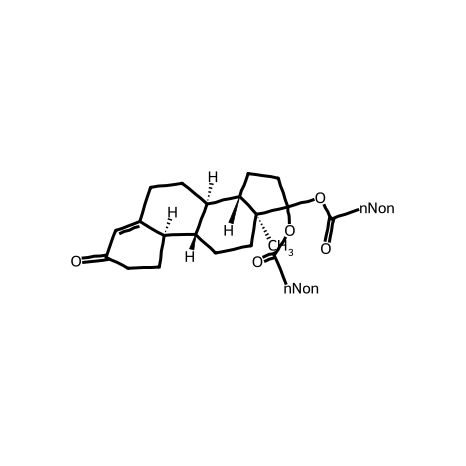 CCCCCCCCCC(=O)OC1(OC(=O)CCCCCCCCC)CC[C@H]2[C@@H]3CCC4=CC(=O)CC[C@@H]4[C@H]3CC[C@@]21C